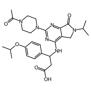 CC(=O)N1CCN(c2nc(NC(CC(=O)O)c3ccc(OC(C)C)cc3)c3c(n2)C(=O)N(C(C)C)C3)CC1